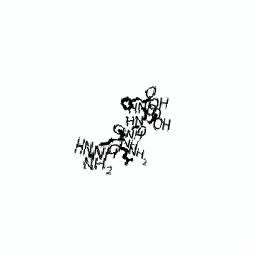 CC(C)C[C@H](N)C(=O)N[C@@H](CCCNC(=N)N)C(=O)NCC(=O)N[C@@H](CC(=O)O)C(=O)N[C@@H](Cc1ccccc1)C(=O)O